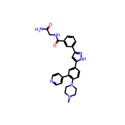 CN1CCN(c2ccc(-c3cc(-c4cccc(C(=O)NCC(N)=O)c4)n[nH]3)cc2-c2ccncc2)CC1